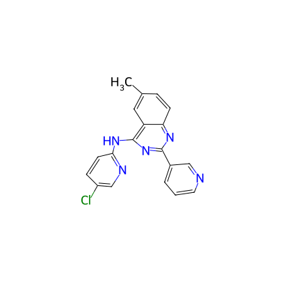 Cc1ccc2nc(-c3cccnc3)nc(Nc3ccc(Cl)cn3)c2c1